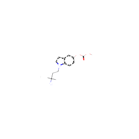 COC(=O)Oc1ccc2c(ccn2CCC(C)(C)N)c1